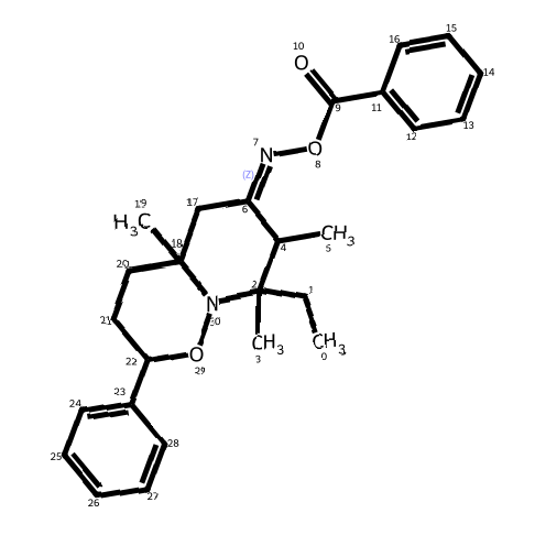 CCC1(C)C(C)/C(=N\OC(=O)c2ccccc2)CC2(C)CCC(c3ccccc3)ON21